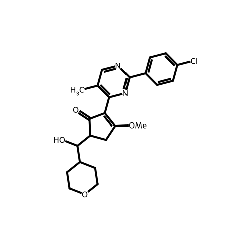 COC1=C(c2nc(-c3ccc(Cl)cc3)ncc2C)C(=O)C(C(O)C2CCOCC2)C1